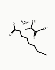 CC(O)C(=O)[O-].CCCCCCCC(=O)[O-].[SnH2+2]